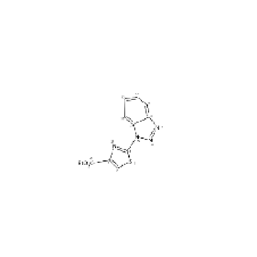 CCOC(=O)c1csc(-n2nnc3ccccc32)n1